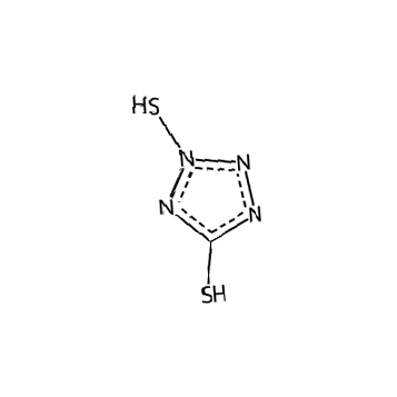 Sc1nnn(S)n1